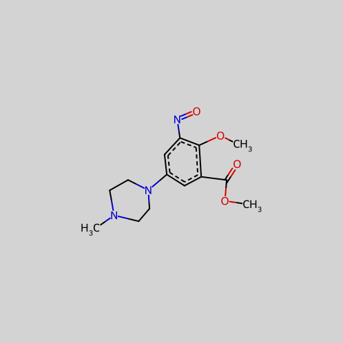 COC(=O)c1cc(N2CCN(C)CC2)cc(N=O)c1OC